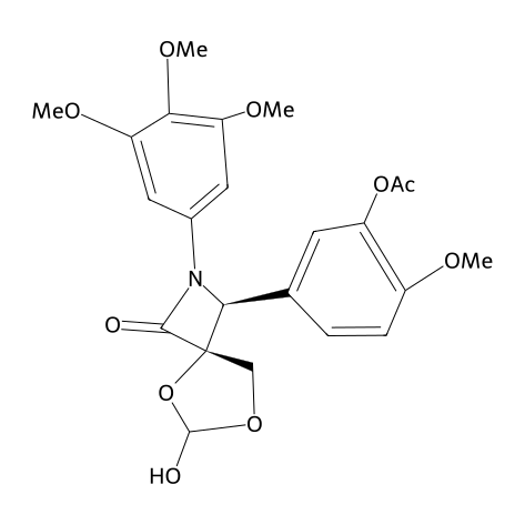 COc1ccc([C@@H]2N(c3cc(OC)c(OC)c(OC)c3)C(=O)[C@]23COC(O)O3)cc1OC(C)=O